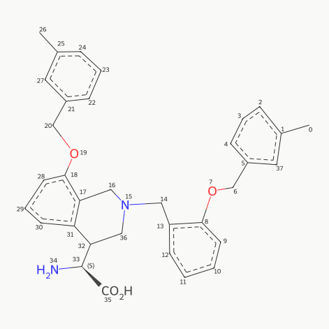 Cc1cccc(COc2ccccc2CN2Cc3c(OCc4cccc(C)c4)cccc3C([C@H](N)C(=O)O)C2)c1